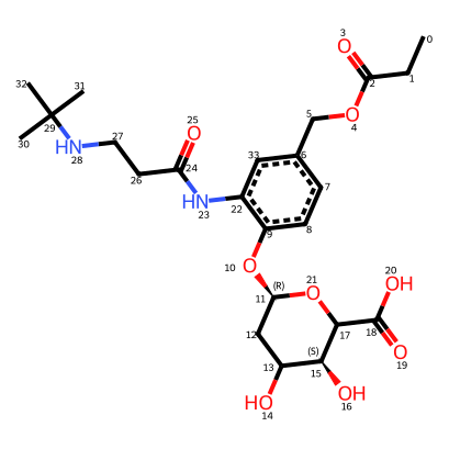 CCC(=O)OCc1ccc(O[C@@H]2CC(O)[C@H](O)C(C(=O)O)O2)c(NC(=O)CCNC(C)(C)C)c1